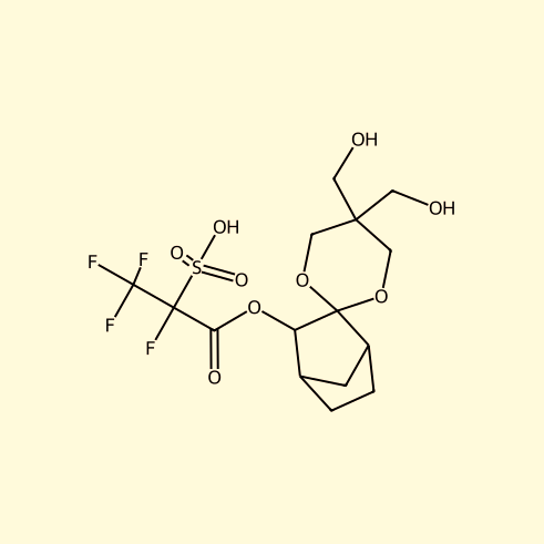 O=C(OC1C2CCC(C2)C12OCC(CO)(CO)CO2)C(F)(C(F)(F)F)S(=O)(=O)O